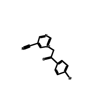 N#Cc1cnc[n+](CC(=O)c2ccc(Br)cc2)c1